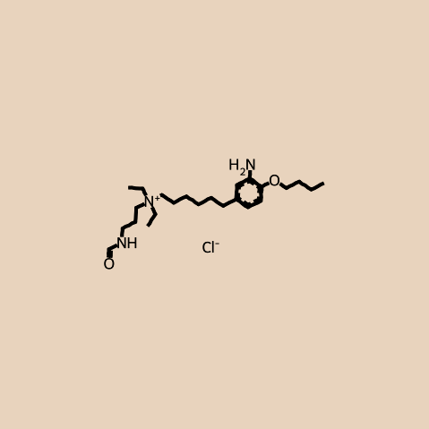 CCCCOc1ccc(CCCCCC[N+](CC)(CC)CCCNC=O)cc1N.[Cl-]